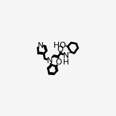 O=C(N[C@H]1CCCC[C@@H]1O)C1=CN(Cc2ccncc2)c2ccccc2O1